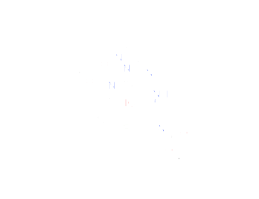 CC(C)(C)OC(=O)N1CC[C@H](O)[C@@H](Nc2cc(N(C(=O)OC(C)(C)C)c3cccc(F)c3)n3ncc(C4CCC4)c3n2)C1